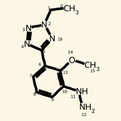 CCn1nnc(-c2cccc(NN)c2OC)n1